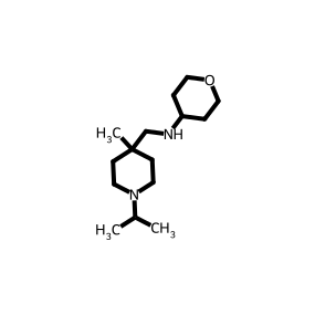 CC(C)N1CCC(C)(CNC2CCOCC2)CC1